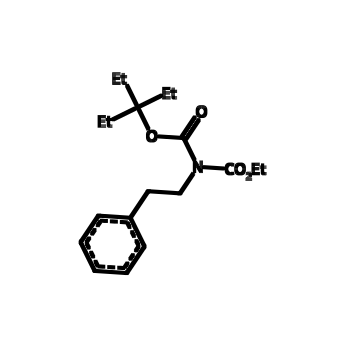 CCOC(=O)N(CCc1ccccc1)C(=O)OC(CC)(CC)CC